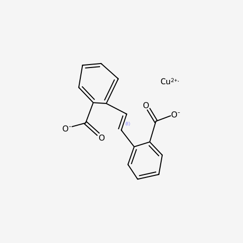 O=C([O-])c1ccccc1/C=C/c1ccccc1C(=O)[O-].[Cu+2]